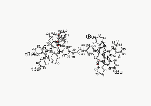 Cc1cc2c3c(c1)N(c1ccc(C(C)(C)C)cc1)c1c(sc4ccc(C(C)(C)C)cc14)B3c1cc3c(cc1N2c1ccc(C(C)(C)CCC(C)(C)c2ccc(N4c5cc(C)cc6c5B(c5cc7c(cc5N6c5ccc(C(C)(C)C)cc5-c5cccc6ccccc56)C(C)(C)CCC7(C)C)c5sc6ccc(C(C)(C)C)cc6c54)cc2)cc1-c1ccc2ccccc2c1)C(C)(C)CCC3(C)C